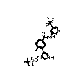 Cc1ccc(C(=O)Nc2cncc(C(F)(F)F)c2)cc1[C@H]1CNC[C@@H]1CO[Si](C)(C)C(C)(C)C